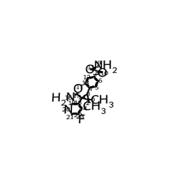 CC1(C)C(c2ccc(S(N)(=O)=O)cc2)C1(C(N)=O)c1cncc(F)c1